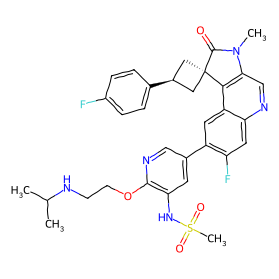 CC(C)NCCOc1ncc(-c2cc3c(cc2F)ncc2c3[C@]3(C[C@H](c4ccc(F)cc4)C3)C(=O)N2C)cc1NS(C)(=O)=O